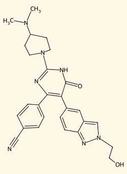 CN(C)C1CCN(c2nc(-c3ccc(C#N)cc3)c(-c3ccc4nn(CCO)cc4c3)c(=O)[nH]2)CC1